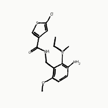 CCN(C)c1c(N)ccc(OC)c1CNC(=O)c1csc(Cl)c1